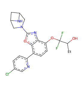 CCC(O)C(F)(F)Oc1ccc(-c2ccc(Cl)cn2)c2oc(N3CC4CC(C3)N4)nc12